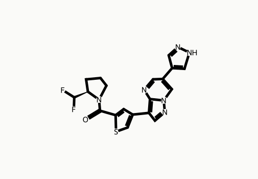 O=C(c1cc(-c2cnn3cc(-c4cn[nH]c4)cnc23)cs1)N1CCC[C@@H]1C(F)F